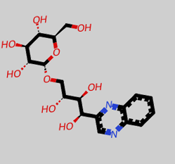 OC[C@H]1O[C@H](OC[C@@H](O)[C@@H](O)[C@H](O)c2cnc3ccccc3n2)[C@H](O)[C@@H](O)[C@@H]1O